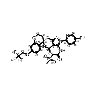 CS(=O)(=O)CC(=O)Nc1c2c(nn1-c1ccc(F)cn1)C[C@]1(CCOc3cc(OCC(F)(F)F)ccc31)NC2=O